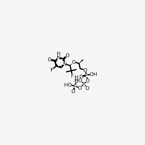 C[C@@H](COP(=O)(O)OP(=O)(O)OP(=O)(O)O)O[C@@H](n1cc(F)c(=O)[nH]c1=O)C(C)(C)F